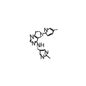 Cc1ccc(N2CCc3ncnc(NCc4cnc(C)nc4)c3C2)nc1